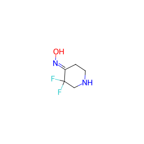 ON=C1CCNCC1(F)F